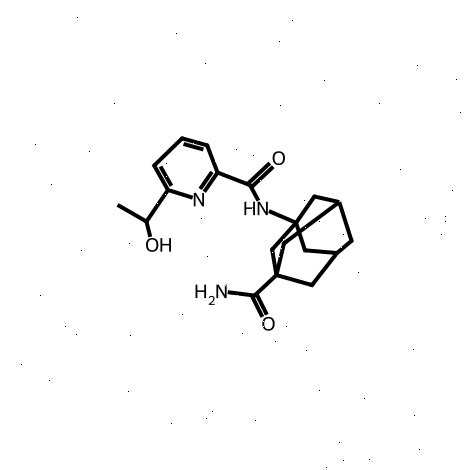 CC(O)c1cccc(C(=O)NC23CC4CC(C2)CC(C(N)=O)(C4)C3)n1